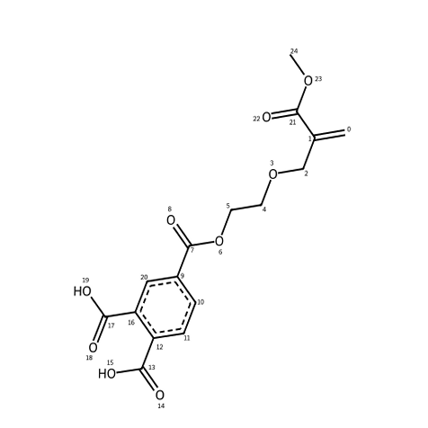 C=C(COCCOC(=O)c1ccc(C(=O)O)c(C(=O)O)c1)C(=O)OC